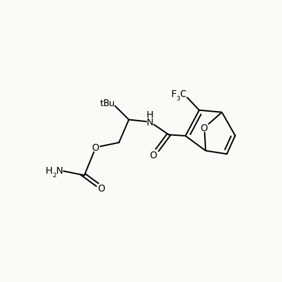 CC(C)(C)C(COC(N)=O)NC(=O)C1=C(C(F)(F)F)C2C=CC1O2